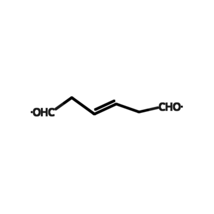 O=[C]CC=CC[C]=O